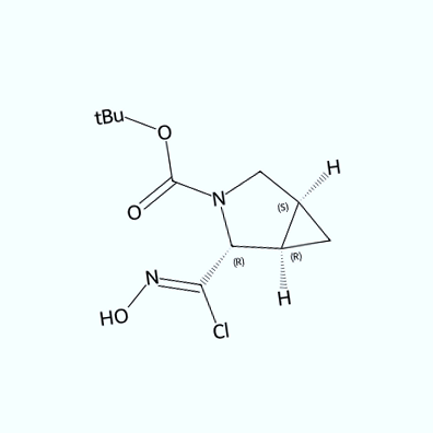 CC(C)(C)OC(=O)N1C[C@H]2C[C@H]2[C@@H]1C(Cl)=NO